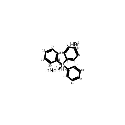 Br.CCCCCCCCC[PH](c1ccccc1)(c1ccccc1)c1ccccc1